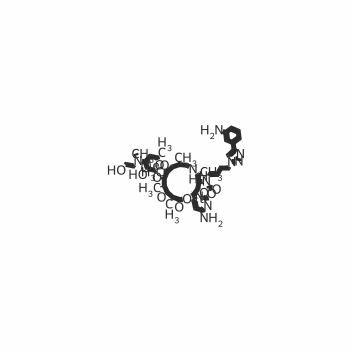 CC[C@H]1OC(=O)[C@H](C)C(=O)[C@H](C)[C@@H](O[C@@H]2O[C@H](C)CC(N(C)CCO)C2O)[C@](C)(OC)C[C@@H](C)CN[C@H](C)[C@H]2N(CCCCn3cc(-c4cccc(N)c4)nn3)C(=O)O[C@]12n1ccc(N)nc1=O